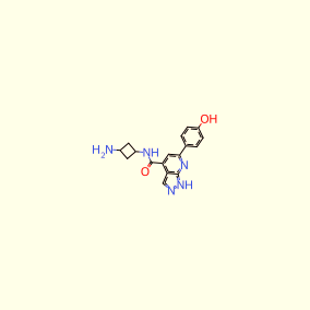 NC1CC(NC(=O)c2cc(-c3ccc(O)cc3)nc3[nH]ncc23)C1